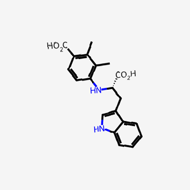 Cc1c(N[C@@H](Cc2c[nH]c3ccccc23)C(=O)O)ccc(C(=O)O)c1C